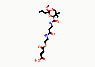 CCCC1(OC)OCC(C)(C)[C@H](C(=O)NCCC(=O)NCCSC(=O)/C=C/C(=O)O)O1